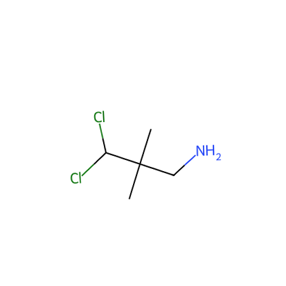 CC(C)(CN)C(Cl)Cl